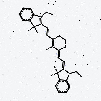 CCN1/C(=C/C=C2\CCCC(/C=C/C3=[N+](CC)c4ccccc4C3(C)C)=C2C)C(C)(C)c2ccccc21